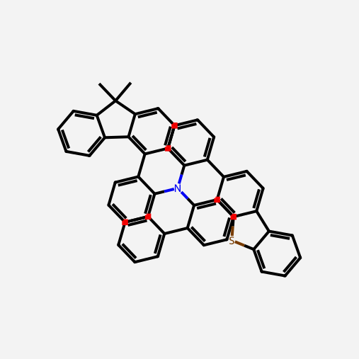 CC1(C)c2ccccc2-c2c(-c3ccccc3N(c3ccccc3-c3ccccc3)c3ccccc3-c3ccc4c(c3)sc3ccccc34)cccc21